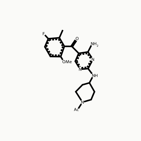 COc1ccc(F)c(C)c1C(=O)c1cnc(NC2CCN(C(C)=O)CC2)nc1N